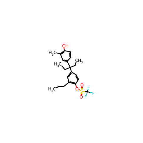 CCCc1cc(C(CC)(CC)c2ccc(O)c(C)c2)ccc1OS(=O)(=O)C(F)(F)F